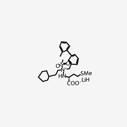 CSCC[C@H](N[N+](CCC1CCCCC1)(Cc1cccc(-c2ccccc2C)c1)S(C)(=O)=O)C(=O)[O-].[LiH]